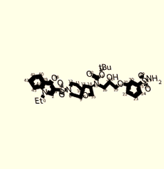 CCn1cc(S(=O)(=O)N2CCC3(CC2)C[C@@H](N(C[C@H](O)COc2cccc(S(N)(=O)=O)c2)C(=O)OC(C)(C)C)CO3)c(=O)c2ccccc21